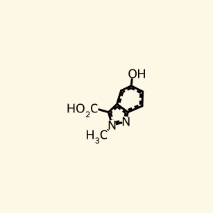 Cn1nc2ccc(O)cc2c1C(=O)O